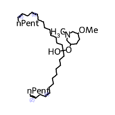 CCCCC/C=C\C/C=C\CCCCCCCCC(O)(CCCCCCCC/C=C\C/C=C\CCCCC)OC1CCC(OC)CN(C)C1